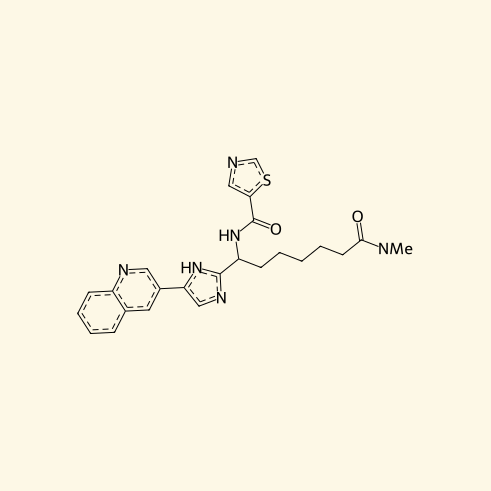 CNC(=O)CCCCCC(NC(=O)c1cncs1)c1ncc(-c2cnc3ccccc3c2)[nH]1